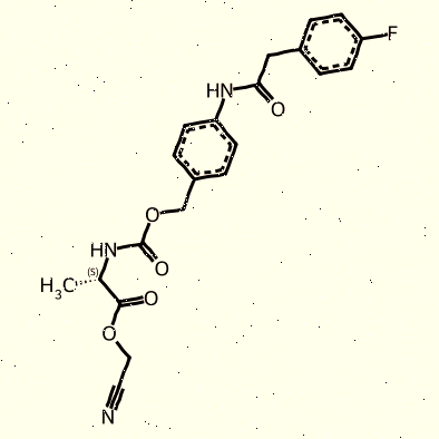 C[C@H](NC(=O)OCc1ccc(NC(=O)Cc2ccc(F)cc2)cc1)C(=O)OCC#N